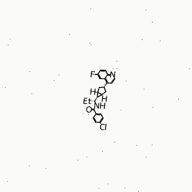 CC[C@@H](NC(=O)c1ccc(Cl)cc1)[C@H]1[C@@H]2C[C@@H](c3ccnc4ccc(F)cc34)C[C@@H]21